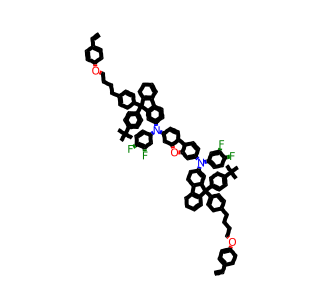 C=CC1=CCC(OCCCCC2=CCC(C3(c4ccc(C(C)(C)C)cc4)C4=C(C=CCC4)c4ccc(N(C5C=CC(F)=C(F)C5)C5C=CC6C(C5)OC5C=C(N(C7=CCC(F)C(F)=C7)C7=CC8C(CC7)C7=C(C=CCC7)C8(C7=CCC(CCCCOC8=CC=C(C=C)CC8)C=C7)C7=CC=C(C(C)(C)C)CC7)C=CC56)cc43)C=C2)C=C1